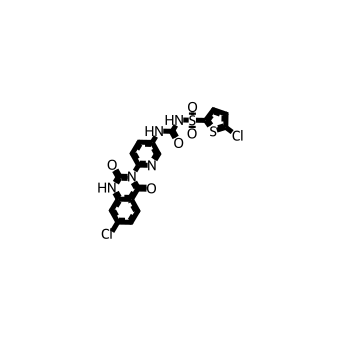 O=C(Nc1ccc(-n2c(=O)[nH]c3cc(Cl)ccc3c2=O)nc1)NS(=O)(=O)c1ccc(Cl)s1